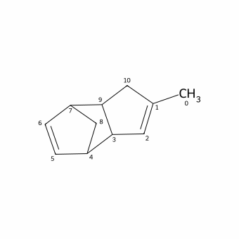 CC1=CC2C3C=CC(C3)C2C1